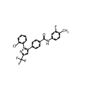 Cc1ccc(NC(=O)c2ccc(-c3cc(C(F)(F)F)nn3-c3ccccc3Cl)cc2)cc1F